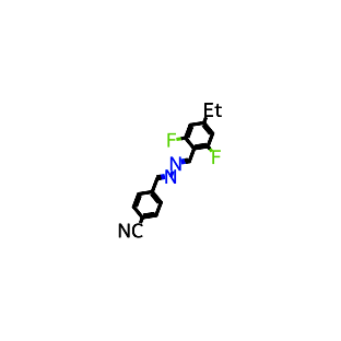 CCc1cc(F)c(C=NN=Cc2ccc(C#N)cc2)c(F)c1